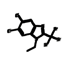 CCn1c(C(Br)(Br)Br)nc2cc(Cl)c(Cl)cc21